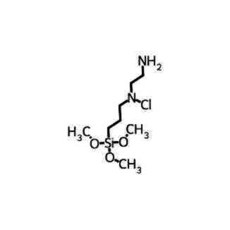 CO[Si](CCCN(Cl)CCN)(OC)OC